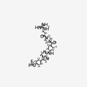 Cc1cc(Nc2nccn3c(-c4ccc(OC(F)F)cc4)cnc23)ccc1C(=O)N1CCN(C(=O)CCNC(=N)N)CC1